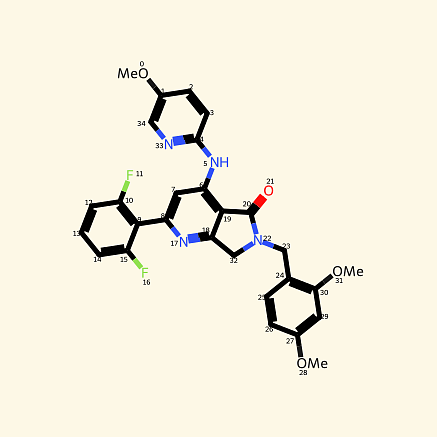 COc1ccc(Nc2cc(-c3c(F)cccc3F)nc3c2C(=O)N(Cc2ccc(OC)cc2OC)C3)nc1